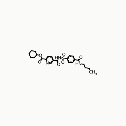 CCCCNC(=O)c1ccc(S(=O)(=O)NC(=O)c2ccc(C(=O)OC3CCCCC3)nc2)cc1